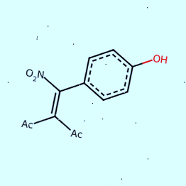 CC(=O)C(C(C)=O)=C(c1ccc(O)cc1)[N+](=O)[O-]